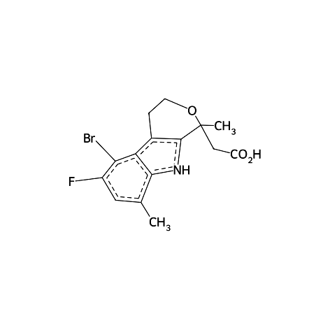 Cc1cc(F)c(Br)c2c3c([nH]c12)C(C)(CC(=O)O)OCC3